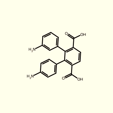 Nc1ccc(-c2c(C(=O)O)ccc(C(=O)O)c2-c2cccc(N)c2)cc1